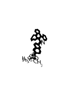 CC1OB(c2ccc3cc(-c4nc5ccccc5c5c6ccccc6c6ccccc6c45)ccc3c2)OC1(C)C